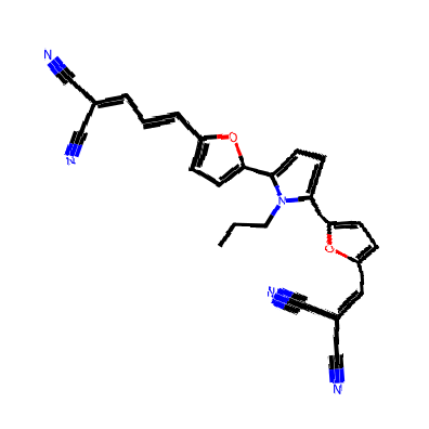 CCCn1c(-c2ccc(C=C(C#N)C#N)o2)ccc1-c1ccc(/C=C/C=C(C#N)C#N)o1